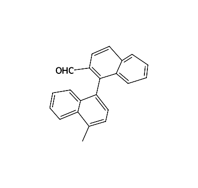 Cc1ccc(-c2c(C=O)ccc3ccccc23)c2ccccc12